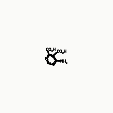 Nc1ccnc(C(=O)O)c1C(=O)O